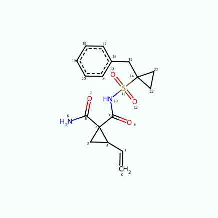 C=CC1CC1(C(N)=O)C(=O)NS(=O)(=O)C1(Cc2ccccc2)CC1